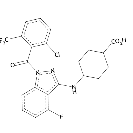 O=C(O)C1CCC(Nc2nn(C(=O)c3c(Cl)cccc3C(F)(F)F)c3cccc(F)c23)CC1